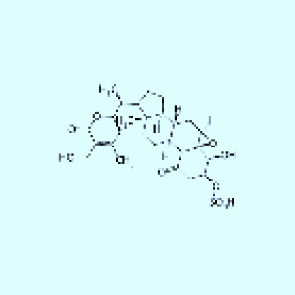 CC1=C(CO)C(=O)O[C@@H]([C@@H](C)C2CC[C@H]3[C@@H]4C[C@H]5O[C@@]56C(C(=O)C[C@H](OS(=O)(=O)O)[C@@H]6O)[C@H]4CC[C@]23C)C1